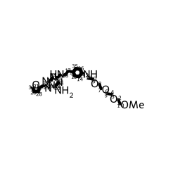 COCCOCCOCCOCCNc1ccc(CCNc2nc(N)n3nc(-c4ccco4)nc3n2)cc1